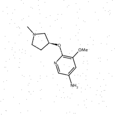 COc1cc(N)cnc1O[C@H]1CCN(C)C1